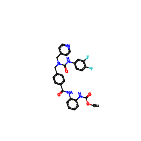 CC(C)(C)OC(=O)Nc1ccccc1NC(=O)c1ccc(CN(Cc2ccncc2)C(=O)Nc2ccc(F)c(F)c2)cc1